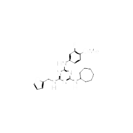 COc1ccc(Nc2nc(NCc3ccco3)nc(NC3CCCCCC3)n2)cc1F